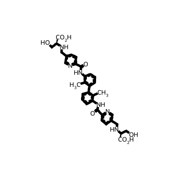 Cc1c(NC(=O)c2ccc(CN[C@@H](CO)C(=O)O)cn2)cccc1-c1cccc(NC(=O)c2ccc(CN[C@@H](CO)C(=O)O)cn2)c1C